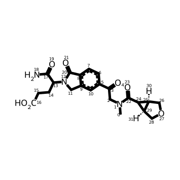 CN(CC(=O)c1ccc2c(c1)CN(C(CCC(=O)O)C(N)=O)C2=O)C(=O)C1[C@H]2COC[C@@H]12